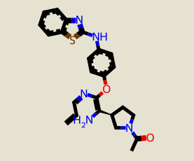 C=C/C=N\C(Oc1ccc(Nc2nc3ccccc3s2)cc1)=C(/N)[C@H]1CCN(C(C)=O)C1